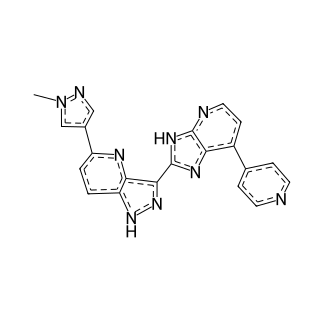 Cn1cc(-c2ccc3[nH]nc(-c4nc5c(-c6ccncc6)ccnc5[nH]4)c3n2)cn1